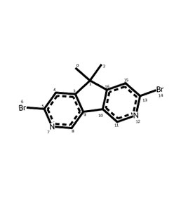 CC1(C)c2cc(Br)ncc2-c2cnc(Br)cc21